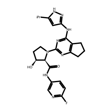 CC(C)c1cc(Nc2nc(N3CC[C@H](O)[C@@H]3C(=O)Nc3ccc(F)nc3)nc3c2CCC3)n[nH]1